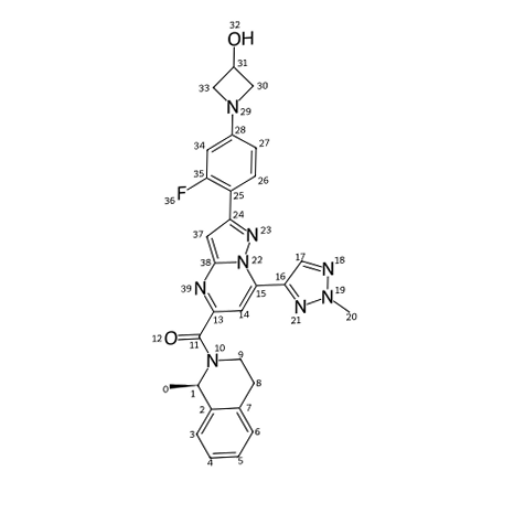 C[C@@H]1c2ccccc2CCN1C(=O)c1cc(-c2cnn(C)n2)n2nc(-c3ccc(N4CC(O)C4)cc3F)cc2n1